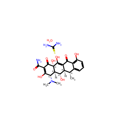 C[C@H]1c2cccc(O)c2C(=O)C2=C(O)[C@]3(O)C(=O)C(C(N)=O)=C(O)[C@@H](N(C)C)[C@@H]3[C@@H](O)[C@@H]21.NC(N)=S.O